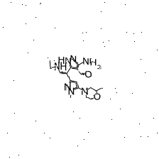 CCN/C=C(/c1cc(N2CCOC(C)C2)n(C)n1)c1[nH]nc(N)c1C=O